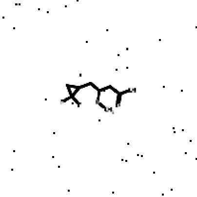 COC(CC(=O)O)CC1CC1(F)F